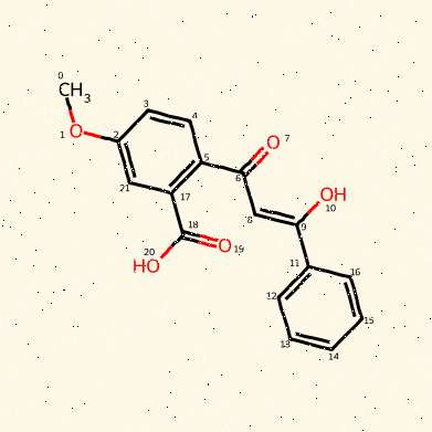 COc1ccc(C(=O)C=C(O)c2ccccc2)c(C(=O)O)c1